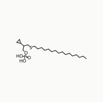 CCCCCCCCCCCCCCCCSCC(COP(=O)(O)O)C1CC1